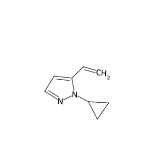 C=Cc1ccnn1C1CC1